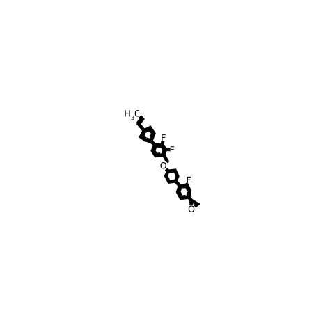 C/C=C/c1ccc(-c2ccc(COC3CCC(c4ccc(C5CO5)cc4F)CC3)c(F)c2F)cc1